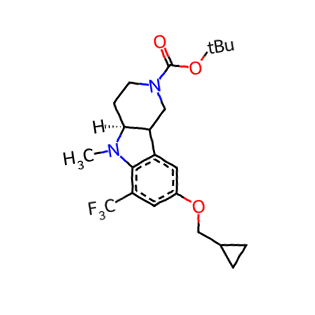 CN1c2c(cc(OCC3CC3)cc2C(F)(F)F)C2CN(C(=O)OC(C)(C)C)CC[C@@H]21